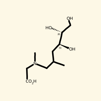 CC(C[C@H](O)[C@H](O)CO)CN(C)CC(=O)O